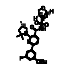 CC(C)COc1cc(F)cc(-c2ccc(C(=O)NS(=O)(=O)N3C[C@H]4C[C@@H]3CO4)c(N3C[C@@H](C)CC3(C)C)n2)c1